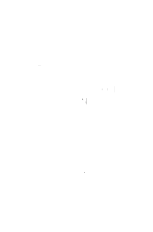 C[C@H](c1ccc(C(F)(F)F)[n+](O)c1)C(C)(C)C